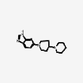 c1nc2ccc(N3CCC(N4CCCCC4)CC3)cc2[nH]1